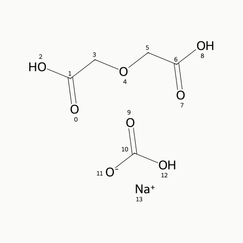 O=C(O)COCC(=O)O.O=C([O-])O.[Na+]